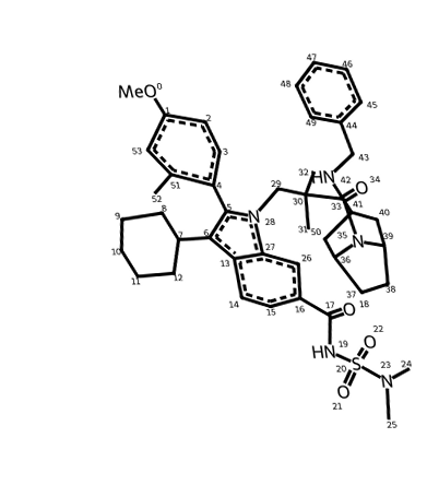 COc1ccc(-c2c(C3CCCCC3)c3ccc(C(=O)NS(=O)(=O)N(C)C)cc3n2CC(C)(C)C(=O)N2C3CCC2CC(NCc2ccccc2)C3)c(C)c1